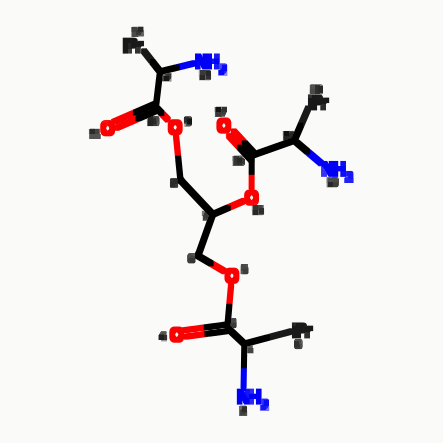 CC(C)C(N)C(=O)OCC(COC(=O)C(N)C(C)C)OC(=O)C(N)C(C)C